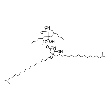 CC(C)CCCCCCCCCCCCCCCOC(CCCCCCCCCCCCCCCC(C)C)(CC(=O)O)C(=O)O.CCCCC(CC)CC(CC(=O)O)(CC(CC)CCCC)C(=O)O